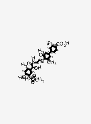 Cc1cc(-c2ccc(C(=O)O)c(C(C)C)c2)cc(C)c1OCCN[C@@H](C)[C@@H](O)c1ccc(O)c(NS(C)(=O)=O)c1